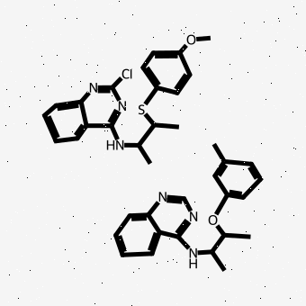 COc1ccc(SC(C)C(C)Nc2nc(Cl)nc3ccccc23)cc1.Cc1cccc(OC(C)C(C)Nc2ncnc3ccccc23)c1